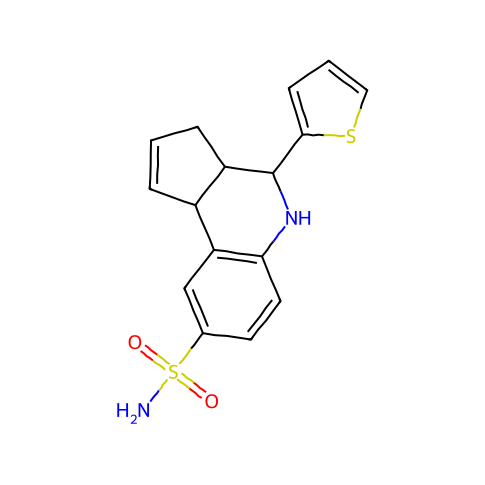 NS(=O)(=O)c1ccc2c(c1)C1C=CCC1C(c1cccs1)N2